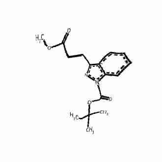 COC(=O)CCc1nn(C(=O)OC(C)(C)C)c2ccccc12